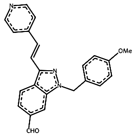 COc1ccc(Cn2nc(C=Cc3ccncc3)c3ccc(C=O)cc32)cc1